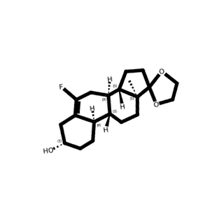 C[C@]12CC[C@H]3[C@@H](CC(F)=C4C[C@@H](O)CC[C@@H]43)[C@@H]1CCC21OCCO1